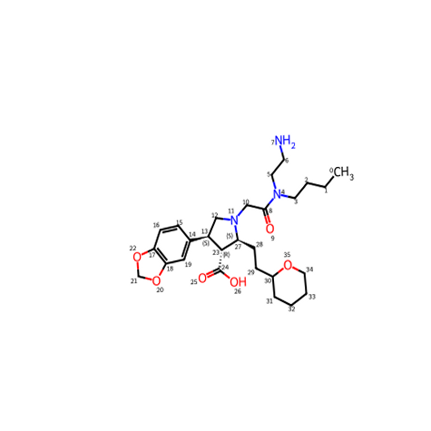 CCCCN(CCN)C(=O)CN1C[C@H](c2ccc3c(c2)OCO3)[C@@H](C(=O)O)[C@@H]1CCC1CCCCO1